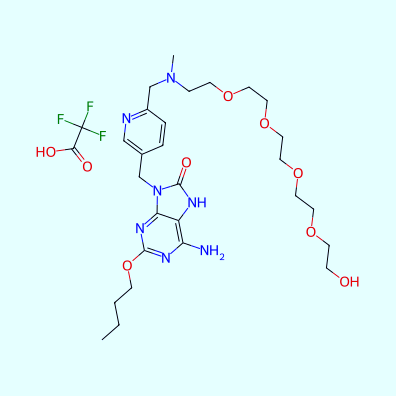 CCCCOc1nc(N)c2[nH]c(=O)n(Cc3ccc(CN(C)CCOCCOCCOCCOCCO)nc3)c2n1.O=C(O)C(F)(F)F